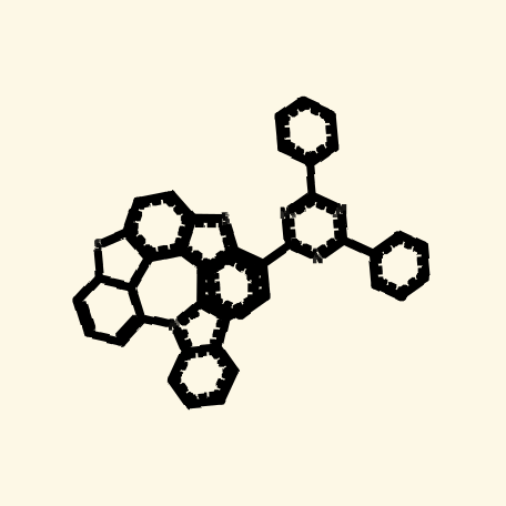 C1=CC2Sc3ccc4sc5c(-c6nc(-c7ccccc7)nc(-c7ccccc7)n6)cccc5c4c3C2C(n2c3ccccc3c3ccccc32)=C1